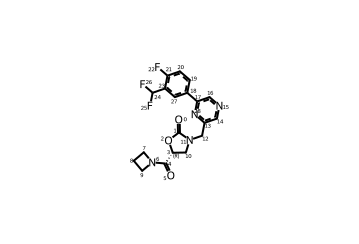 O=C1O[C@@H](C(=O)N2CCC2)CN1Cc1cncc(-c2ccc(F)c(C(F)F)c2)n1